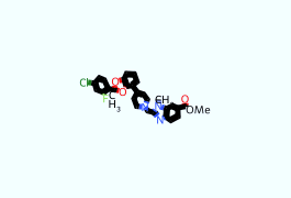 COC(=O)c1ccc2nc(CN3CC=C(c4cccc5c4OC(C)(c4ccc(Cl)cc4F)O5)CC3)n(C)c2c1